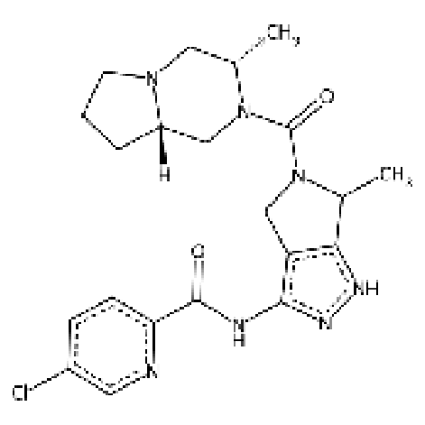 CC1c2[nH]nc(NC(=O)c3ccc(Cl)cn3)c2CN1C(=O)N1C[C@@H]2CCCN2C[C@@H]1C